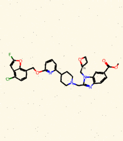 COC(=O)c1ccc2nc(CN3CCC(c4cccc(OCc5ccc(Cl)c6cc(F)oc56)n4)CC3)n(C[C@@H]3CCO3)c2c1